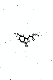 CC(=O)n1nc(CC(N)=O)c2cc([N+](=O)[O-])ccc21